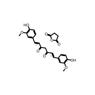 COc1cc(/C=C/C(=O)CC(=O)/C=C/c2ccc(O)c(OC)c2)ccc1O.O=C1CCC(=O)O1